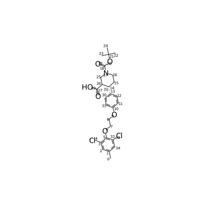 Cc1cc(Cl)c(OCCOc2ccc([C@H]3CCN(C(=O)OC(C)(C)C)CC3C(=O)O)cc2)c(Cl)c1